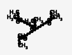 CCCCC(CC)COC(=O)CCCCCCCCC(CCCCCCCCC(=O)OCC(CC)CCCC)N(CCCN(C)C)C(=O)CCCCCCCCOC(=O)C(CC)CCCC